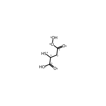 O=C(CC(S)C(=O)O)OO